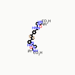 CC(C)[C@H](NC(=O)O)C(=O)N1CCCC1c1ncc(-c2ccc(-c3csc4c(-c5cccc6[nH]c(C7CCCN7C(=O)[C@@H](NC(=O)O)C(C)C)nc56)csc34)cc2)[nH]1